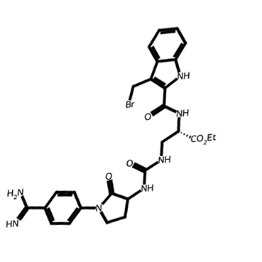 CCOC(=O)[C@H](CNC(=O)NC1CCN(c2ccc(C(=N)N)cc2)C1=O)NC(=O)c1[nH]c2ccccc2c1CBr